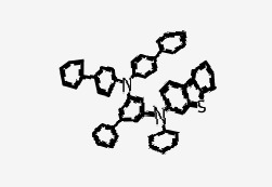 c1ccc(-c2ccc(N(c3ccc(-c4ccccc4)cc3)c3cc(-c4ccccc4)cc(N(c4ccccc4)c4ccc5c(c4)sc4ccccc45)c3)cc2)cc1